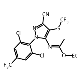 CCO/C(C)=N/c1c(SC(F)(F)F)c(C#N)nn1-c1c(Cl)cc(C(F)(F)F)cc1Cl